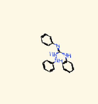 c1ccc(N=C(NNc2ccccc2)Nc2ccccc2)cc1